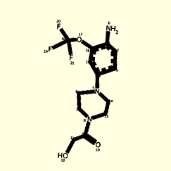 Nc1ccc(N2CCN(C(=O)CO)CC2)cc1OC(F)(F)F